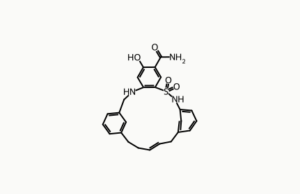 NC(=O)c1cc2c(cc1O)NCc1cccc(c1)CC/C=C/Cc1cccc(c1)NS2(=O)=O